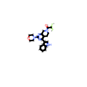 O=C(C(F)F)N1CCc2c(nc(N3CCOCC3)nc2-c2c[nH]c3ccccc23)C1